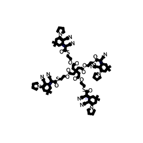 CC1(C)CC(N2CCCC2)=C(C#N)/C(=C(/C#N)C(=O)SCCOC(=O)CC(CC(=O)OCCSC(=O)/C(C#N)=C2\CC(C)(C)CC(N3CCCC3)=C2C#N)(CC(=O)OCCSC(=O)/C(C#N)=C2\CC(C)(C)CC(N3CCCC3)=C2C#N)CC(=O)OCCSC(=O)/C(C#N)=C2\CC(C)(C)CC(N3CCCC3)=C2C#N)C1